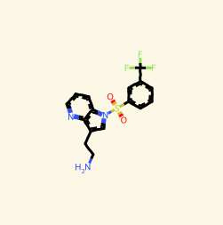 NCCc1cn(S(=O)(=O)c2cccc(C(F)(F)F)c2)c2cccnc12